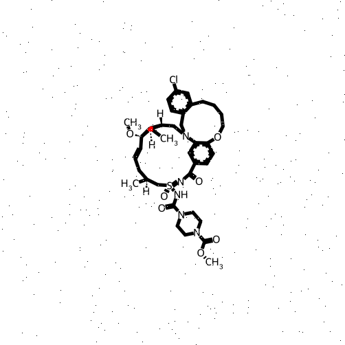 COC(=O)N1CCN(C(=O)NS2(=O)=NC(=O)c3ccc4c(c3)N(Cc3ccc(Cl)cc3CCCCO4)C[C@@H]3C[C@@](OC)(/C=C/C[C@H](C)C2)[C@@H]3C)CC1